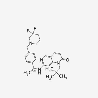 C[C@H](Nc1cc2c(ccc(=O)n2CC(C)(C)C)cn1)c1ccc(CN2CCCC(F)(F)C2)cc1